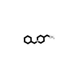 CCC1CCN(CC2CCCCC2)CC1